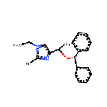 COCn1cc(C(O[SiH](c2ccccc2)c2ccccc2)C(C)(C)C)nc1C(C)=O